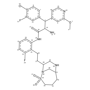 COc1cc(C(c2ccc(Cl)c(F)c2)C(N)C(=O)Nc2cccc(F)c2CCC2CNC3CCCS(=O)(=O)N2C3)ccn1